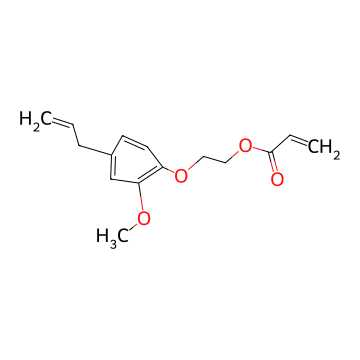 C=CCc1ccc(OCCOC(=O)C=C)c(OC)c1